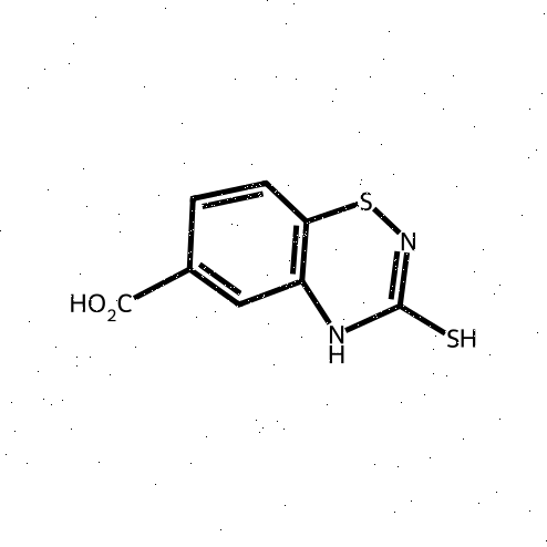 O=C(O)c1ccc2c(c1)NC(S)=NS2